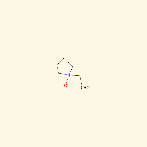 O=[C]C[N+]1([O-])CCCC1